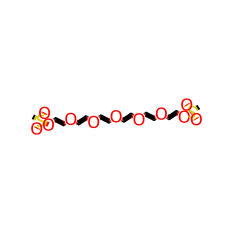 CS(=O)(=O)OCCOCCOCCOCCOCCOCCOS(C)(=O)=O